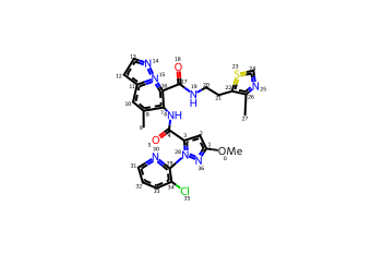 COc1cc(C(=O)Nc2c(C)cc3ccnn3c2C(=O)NCCc2scnc2C)n(-c2ncccc2Cl)n1